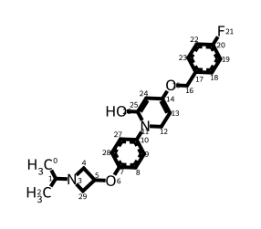 CC(C)N1CC(Oc2ccc(N3CC=C(OCc4ccc(F)cc4)C=C3O)cc2)C1